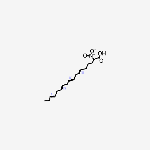 CC/C=C/C/C=C/C/C=C/C/C=C/CCCC(C(=O)O)[N+](=O)[O-]